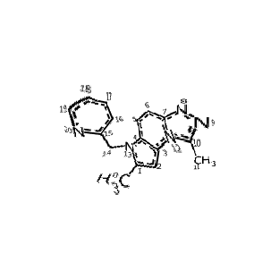 Cc1cc2c(ccc3nnc(C)n32)n1Cc1ccccn1